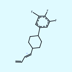 C=C/C=C/C1CCC(c2cc(F)c(F)c(F)c2)CC1